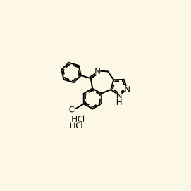 Cl.Cl.Clc1ccc2c(c1)C(c1ccccc1)=NCc1cn[nH]c1-2